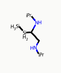 CC(C)NCC(NC(C)C)[SiH2][SiH3]